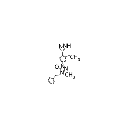 CCc1cc(-n2nc(C)n(CCc3ccccc3)c2=O)ccc1-c1cn[nH]c1